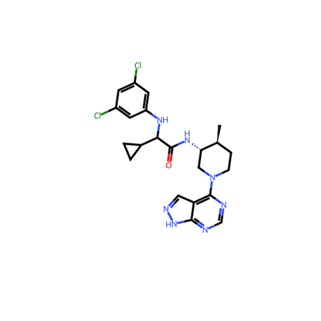 C[C@H]1CCN(c2ncnc3[nH]ncc23)C[C@@H]1NC(=O)C(Nc1cc(Cl)cc(Cl)c1)C1CC1